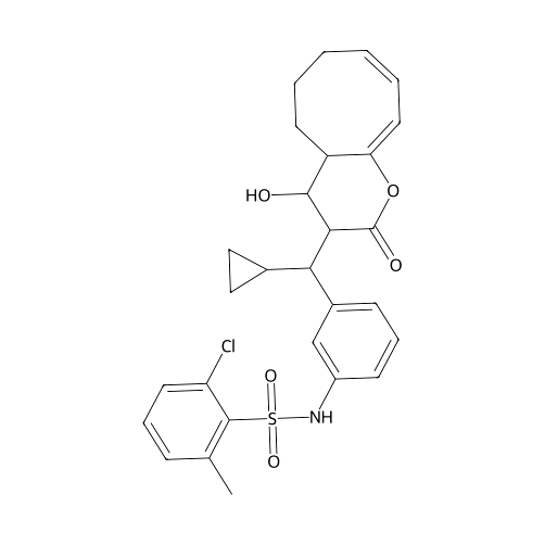 Cc1cccc(Cl)c1S(=O)(=O)Nc1cccc(C(C2CC2)C2C(=O)OC3=CC=CCCCC3C2O)c1